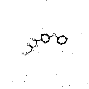 NCC(=O)OC(=O)c1ccc(Oc2ccccc2)cc1